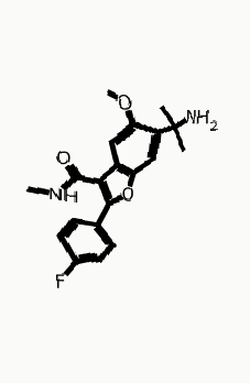 CNC(=O)c1c(-c2ccc(F)cc2)oc2cc(C(C)(C)N)c(OC)cc12